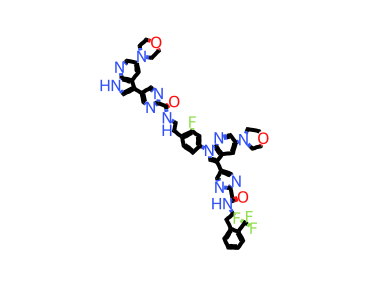 O=C(NCCc1ccc(-n2cc(-c3cnc(C(=O)NCCc4ccccc4C(F)(F)F)nc3)c3cc(N4CCOCC4)cnc32)cc1F)c1ncc(-c2c[nH]c3ncc(N4CCOCC4)cc23)cn1